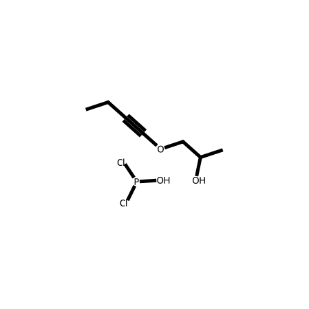 CCC#COCC(C)O.OP(Cl)Cl